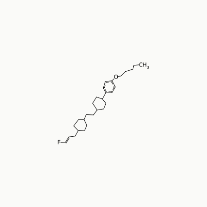 CCCCCOc1ccc(C2CCC(CCC3CCC(CC=CF)CC3)CC2)cc1